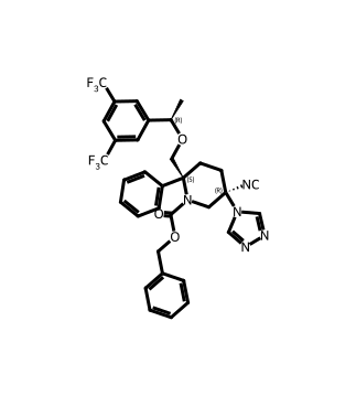 [C-]#[N+][C@@]1(n2cnnc2)CC[C@@](CO[C@H](C)c2cc(C(F)(F)F)cc(C(F)(F)F)c2)(c2ccccc2)N(C(=O)OCc2ccccc2)C1